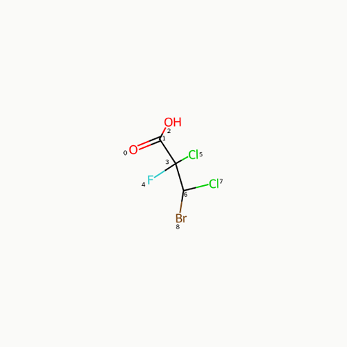 O=C(O)C(F)(Cl)C(Cl)Br